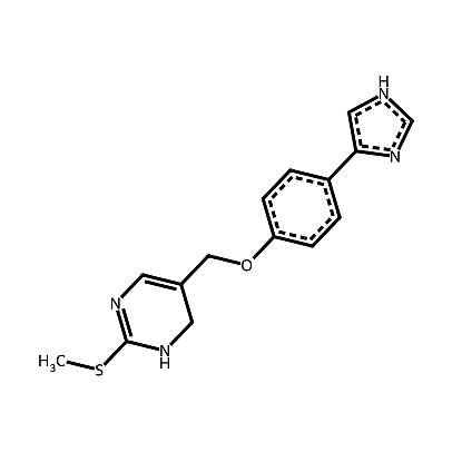 CSC1=NC=C(COc2ccc(-c3c[nH]cn3)cc2)CN1